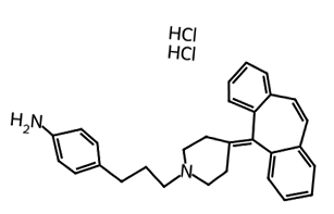 Cl.Cl.Nc1ccc(CCCN2CCC(=C3c4ccccc4C=Cc4ccccc43)CC2)cc1